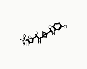 C[S@@](=N)(=O)c1ccc(C(=O)NC23CC(c4nc5cc(Cl)ccc5o4)(C2)C3)o1